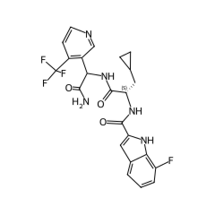 NC(=O)C(NC(=O)[C@H](CC1CC1)NC(=O)c1cc2cccc(F)c2[nH]1)c1cnccc1C(F)(F)F